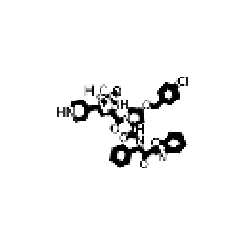 CS(=O)(=O)N[C@H](CCC1CCNCC1)C(=O)N1C[C@H](OCc2ccc(Cl)cc2)C[C@H]1C(=O)N[C@H](C(=O)c1nc2ccccc2o1)c1ccccc1